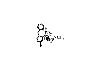 CN(C)C[C@@H]1C[C@@H]2c3ccccc3Cc3ccc(F)cc3[C@H]2[S+]1[O-]